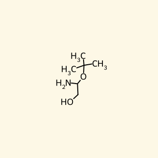 CC(C)(C)OC(N)CO